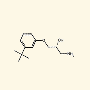 CC(C)(C)c1cccc(OC[C@H](O)CN)c1